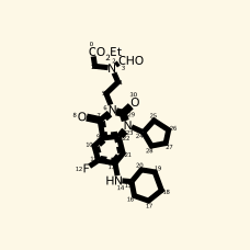 CCOC(=O)CN(C=O)CCn1c(=O)c2cc(F)c(NC3CCCCC3)cc2n(C2CCCC2)c1=O